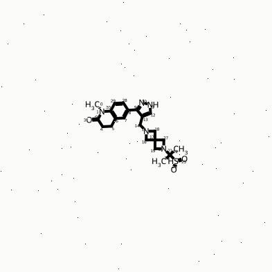 CN1C(=O)CCc2cc(-c3n[nH]cc3CN3CC4(C3)CN(C(C)(C)[SH](=O)=O)C4)ccc21